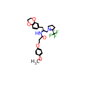 COc1ccc(OCCC(=O)N[C@@H](Cc2ccc3c(c2)OCCO3)CN2CCC[C@H]2C(F)(F)F)cc1